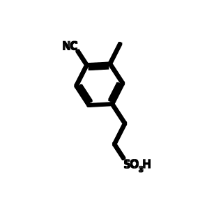 Cc1cc(CCS(=O)(=O)O)ccc1C#N